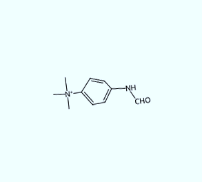 C[N+](C)(C)c1ccc(NC=O)cc1